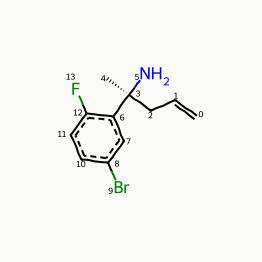 C=CC[C@](C)(N)c1cc(Br)ccc1F